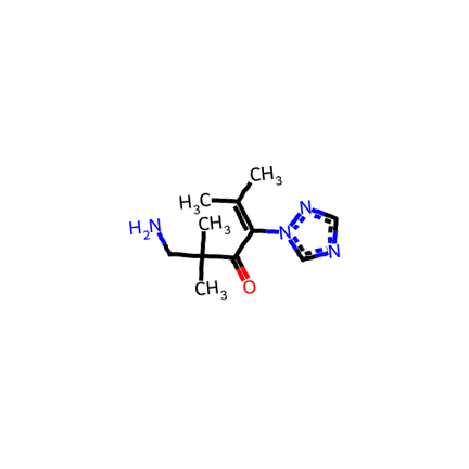 CC(C)=C(C(=O)C(C)(C)CN)n1cncn1